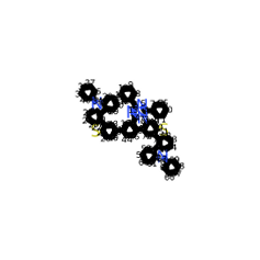 c1ccc(-c2nc(-c3ccccc3)nc(-c3cc(-c4ccc5sc6ccc7c(c8ccccc8n7-c7ccccc7)c6c5c4)ccc3-c3ccc4sc5ccc6c(c7ccccc7n6-c6ccccc6)c5c4c3)n2)cc1